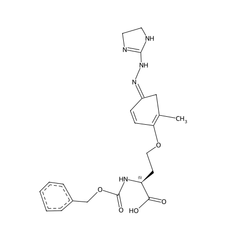 CC1=C(OCC[C@H](NC(=O)OCc2ccccc2)C(=O)O)C=CC(=NNC2=NCCN2)C1